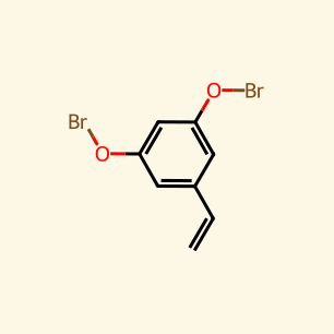 C=Cc1cc(OBr)cc(OBr)c1